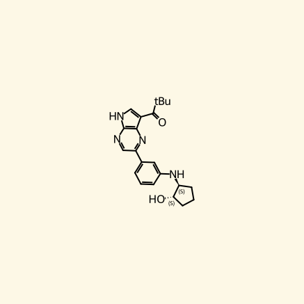 CC(C)(C)C(=O)c1c[nH]c2ncc(-c3cccc(N[C@H]4CCC[C@@H]4O)c3)nc12